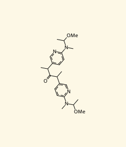 COC(C)N(C)c1ccc(C(C)C(=O)C(C)c2ccc(N(C)C(C)OC)nc2)cn1